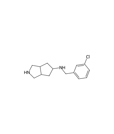 Clc1cccc(CNC2CC3CNCC3C2)c1